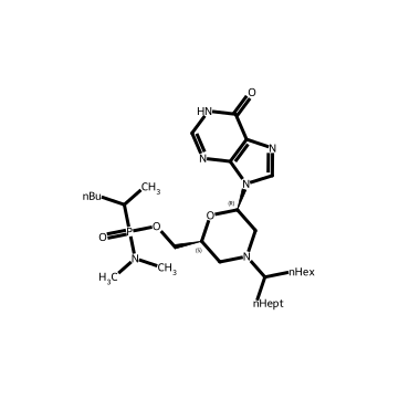 CCCCCCCC(CCCCCC)N1C[C@@H](COP(=O)(C(C)CCCC)N(C)C)O[C@@H](n2cnc3c(=O)[nH]cnc32)C1